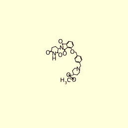 CS(=O)(=O)C1CCN(Cc2ccc(COc3cccc4c3C(=O)N(C3CCC(=O)NC3=O)C4=O)cc2)CC1